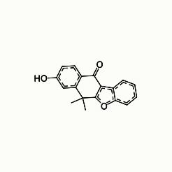 CC1(C)c2cc(O)ccc2C(=O)c2c1oc1ccccc21